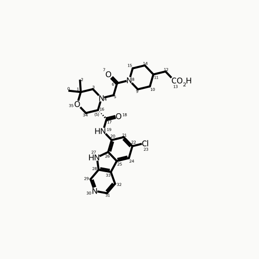 CC1(C)CN(CC(=O)N2CCC(CC(=O)O)CC2)[C@H](C(=O)Nc2cc(Cl)cc3c2[nH]c2cnccc23)CO1